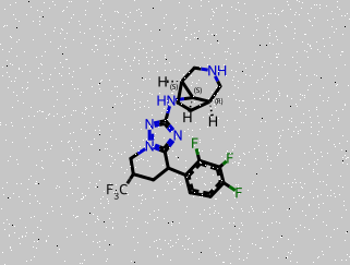 Fc1ccc(C2CC(C(F)(F)F)Cn3nc(N[C@@H]4[C@@H]5CC[C@H]4CNC5)nc32)c(F)c1F